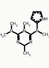 CC1N=C(N(C)C)N(C)C(N(C)c2ccc[nH]2)=N1